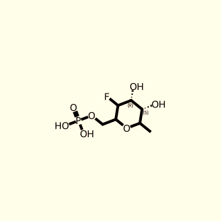 CC1OC(COP(=O)(O)O)C(F)[C@H](O)[C@@H]1O